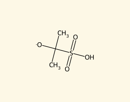 CC(C)([O])S(=O)(=O)O